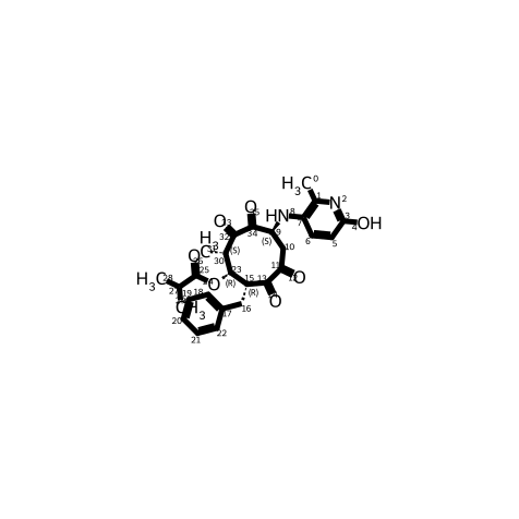 Cc1nc(O)ccc1N[C@H]1CC(=O)C(=O)[C@H](Cc2ccccc2)[C@H](OC(=O)C(C)C)[C@H](C)C(=O)C1=O